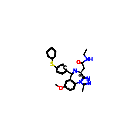 CCNC(=O)C[C@@H]1N=C(c2ccc(Sc3ccccc3)cc2)c2cc(OC)ccc2-n2c(C)nnc21